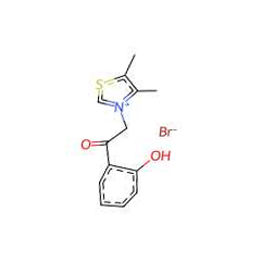 Cc1sc[n+](CC(=O)c2ccccc2O)c1C.[Br-]